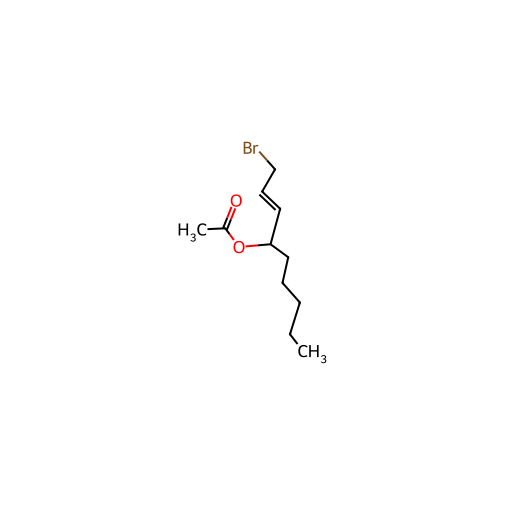 CCCCCC(C=CCBr)OC(C)=O